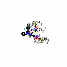 CC(C)(C)[C@H](c1cc(-c2cc(F)ccc2F)cn1Cc1ccccc1)N(CCCNC(=O)OCCS(C)(C)C)C(=O)CSC[C@H](NC(=O)CCS(C)(C)C)C(=O)O